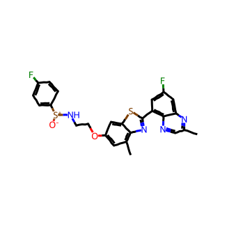 Cc1cnc2c(-c3nc4c(C)cc(OCCN[S+]([O-])c5ccc(F)cc5)cc4s3)cc(F)cc2n1